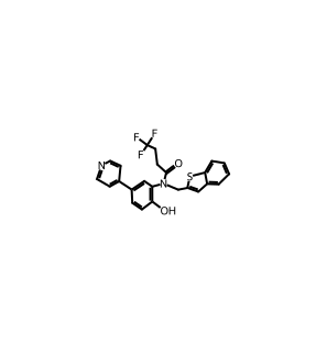 O=C(CCC(F)(F)F)N(Cc1cc2ccccc2s1)c1cc(-c2ccncc2)ccc1O